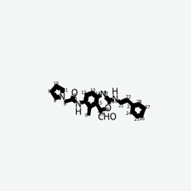 Cc1c(NC(=O)Cn2cccc2)ccc2c1C(C=O)OC(NC=Cc1ccccc1)=N2